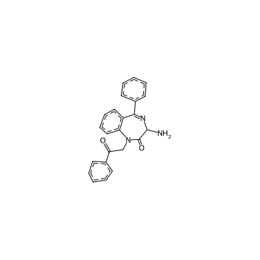 NC1N=C(c2ccccc2)c2ccccc2N(CC(=O)c2ccccc2)C1=O